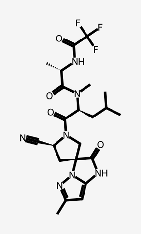 Cc1cc2n(n1)[C@@]1(C[C@@H](C#N)N(C(=O)[C@H](CC(C)C)N(C)C(=O)[C@H](C)NC(=O)C(F)(F)F)C1)C(=O)N2